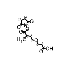 CC(CCOCCC(=O)O)C(=O)ON1C(=O)CCC1=O